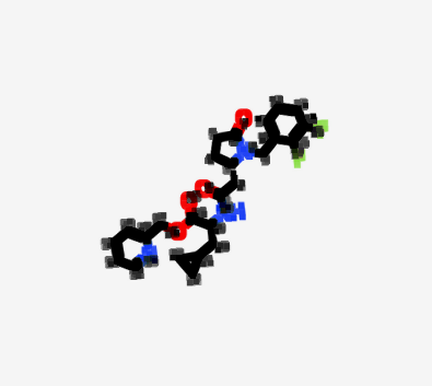 O=C(C[C@@H]1CCC(=O)N1Cc1cccc(F)c1F)N[C@@H](CC1CC1)C(=O)OCc1ccccn1